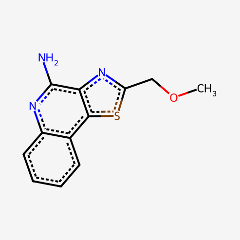 COCc1nc2c(N)nc3ccccc3c2s1